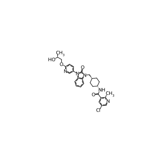 Cc1ncc(Cl)cc1C(=O)N[C@H]1CC[C@H](Cn2c(=O)n(-c3ccc(OC[C@H](C)O)nc3)c3ccccc32)CC1